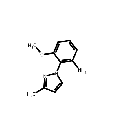 COc1cccc(N)c1-n1ccc(C)n1